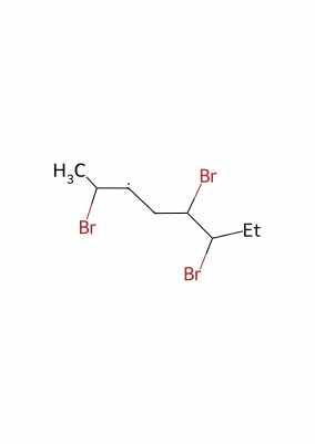 CCC(Br)C(Br)C[CH]C(C)Br